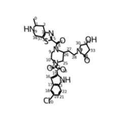 CC1Cc2nc(C(=O)N3CCN(S(=O)(=O)c4cc5cc(Cl)ccc5[nH]4)CC3CCN3CC(O)CC3=O)sc2CN1